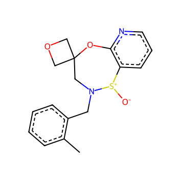 Cc1ccccc1CN1CC2(COC2)Oc2ncccc2[S+]1[O-]